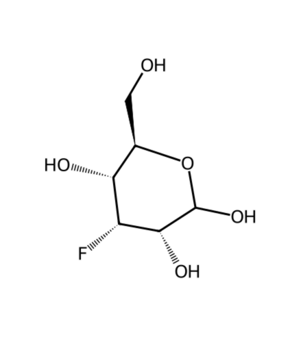 OC[C@H]1OC(O)[C@H](O)[C@H](F)[C@@H]1O